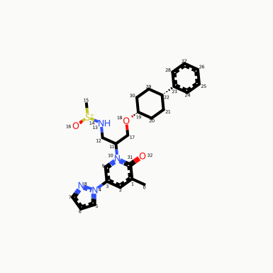 Cc1cc(-n2cccn2)cn(C(CN[S+](C)[O-])CO[C@H]2CC[C@@H](c3ccccc3)CC2)c1=O